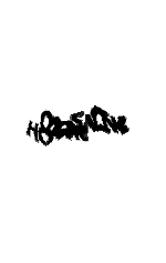 CC(C)N1CCCN(c2nc3ccc(O)c(C=O)c3s2)CC1